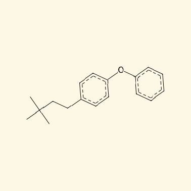 CC(C)(C)CCc1ccc(Oc2ccccc2)cc1